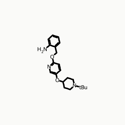 CC(C)(C)N1CCC(Oc2ccc(OCc3ccccc3N)nc2)CC1